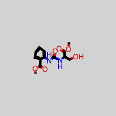 COC(=O)c1ccccc1NC(=O)NC(CO)C(=O)OC